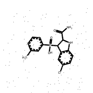 Cc1cccc(P(=O)(O)C2c3cc(Cl)ccc3NC2C(N)=O)c1